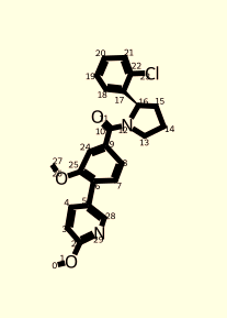 COc1ccc(-c2ccc(C(=O)N3CCC[C@@H]3c3ccccc3Cl)cc2OC)cn1